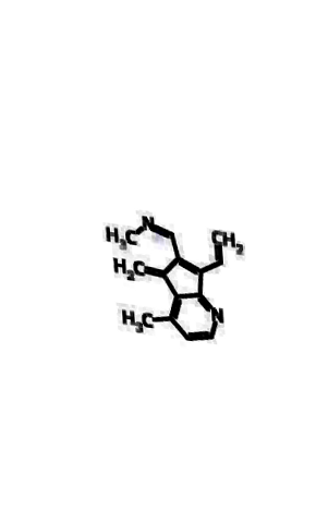 C=CC1=C(/C=N\C)C(=C)c2c(C)ccnc21